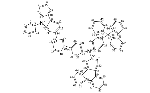 c1ccc(-n2c3ccccc3c3ccc(-c4cccc(-c5ccc(N(c6ccc7c(c6)-c6ccccc6C76c7ccccc7-c7ccccc76)c6ccc7c8ccccc8c8ccccc8c7c6)cc5)c4)cc32)cc1